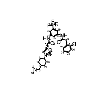 CN(C)CC1CCC([n+]2cc([N-]C(=O)Nc3cc(NC(=O)Cc4ccccc4Cl)cc(C(F)(F)F)c3)on2)CC1